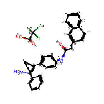 N[C@@]1(c2ccccc2)C[C@H]1c1ccc(NC(=O)Cc2ccc3ccccc3c2)cc1.O=C(O)C(F)(F)F